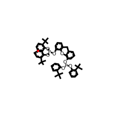 CC(C)(C)c1ccccc1OP(Oc1ccccc1C(C)(C)C)Oc1cccc2c1Oc1c(cccc1OP(Oc1ccccc1C(C)(C)C)Oc1ccccc1C(C)(C)C)C2